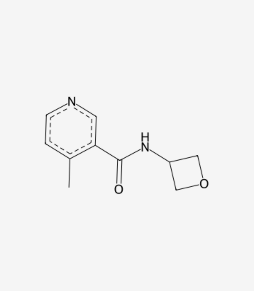 Cc1ccncc1C(=O)NC1COC1